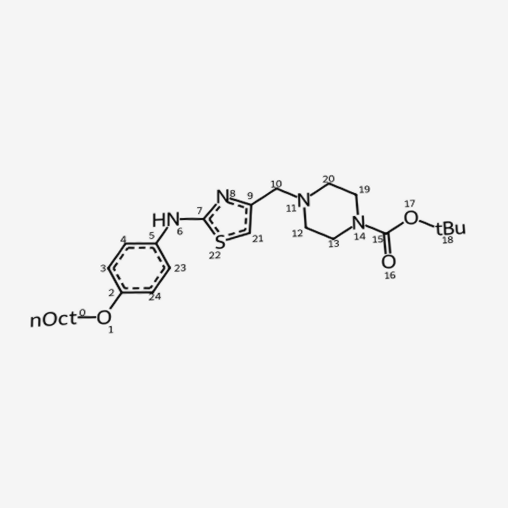 CCCCCCCCOc1ccc(Nc2nc(CN3CCN(C(=O)OC(C)(C)C)CC3)cs2)cc1